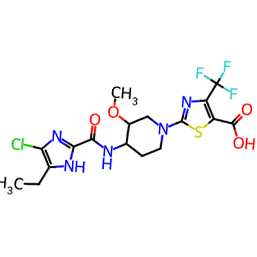 CCc1[nH]c(C(=O)NC2CCN(c3nc(C(F)(F)F)c(C(=O)O)s3)CC2OC)nc1Cl